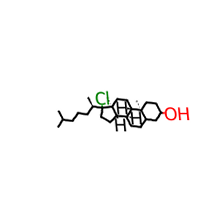 CC(C)CCC[C@@H](C)[C@@]1(Cl)CC[C@H]2[C@@H]3CCC4CC(O)CC[C@]4(C)[C@H]3CC[C@@]21C